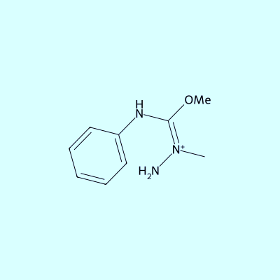 COC(Nc1ccccc1)=[N+](C)N